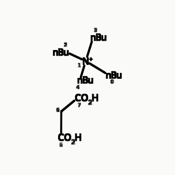 CCCC[N+](CCCC)(CCCC)CCCC.O=C(O)CC(=O)O